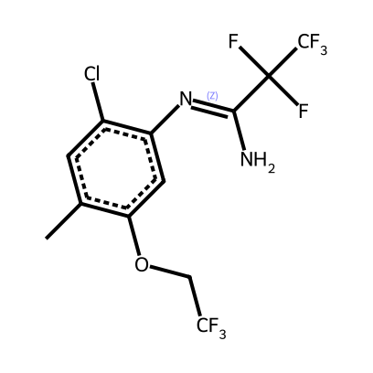 Cc1cc(Cl)c(/N=C(\N)C(F)(F)C(F)(F)F)cc1OCC(F)(F)F